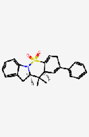 CC1(C)[C@@H]2C=C(c3ccccc3)CC=C2S(=O)(=O)N2c3ccccc3C[C@@H]21